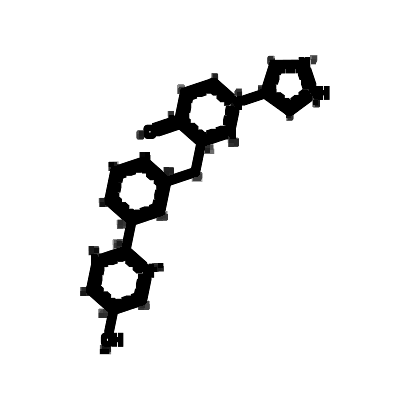 O=c1ccn(-c2cn[nH]c2)nc1Cc1cccc(-c2ncc(O)cn2)c1